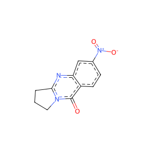 O=c1c2ccc([N+](=O)[O-])cc2nc2n1CCC2